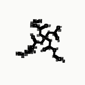 C=COC(=O)C[N+](CC(=O)[O-])(CC(=O)O)CC(=O)O.N.[NaH].[NaH].[NaH]